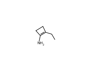 CCC1=C(N)CC1